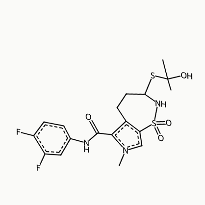 Cn1cc2c(c1C(=O)Nc1ccc(F)c(F)c1)CCC(SC(C)(C)O)NS2(=O)=O